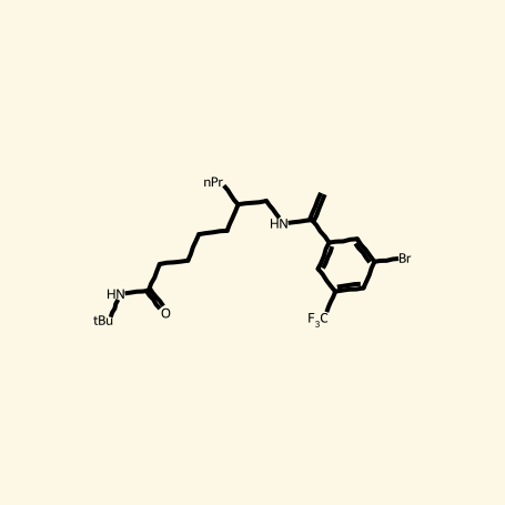 C=C(NCC(CCC)CCCCC(=O)NC(C)(C)C)c1cc(Br)cc(C(F)(F)F)c1